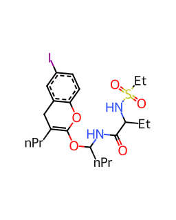 CCCC1=C(OC(CCC)NC(=O)C(CC)NS(=O)(=O)CC)Oc2ccc(I)cc2C1